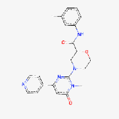 Cc1cccc(NC(=O)C2CN(c3nc(-c4ccncc4)cc(=O)n3C)CCO2)c1